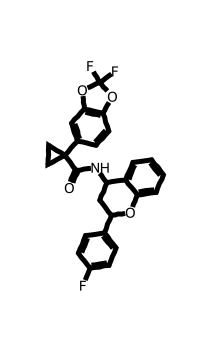 O=C(NC1CC(c2ccc(F)cc2)Oc2ccccc21)C1(c2ccc3c(c2)OC(F)(F)O3)CC1